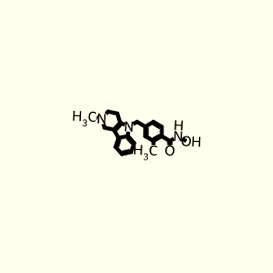 Cc1cc(Cn2c3c(c4ccccc42)CN(C)CC3)ccc1C(=O)NO